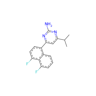 CC(C)c1cc(-c2ccc(F)c3c(F)cccc23)nc(N)n1